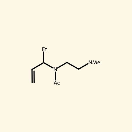 C=CC(CC)N(CCNC)C(C)=O